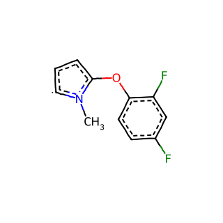 Cn1[c]ccc1Oc1ccc(F)cc1F